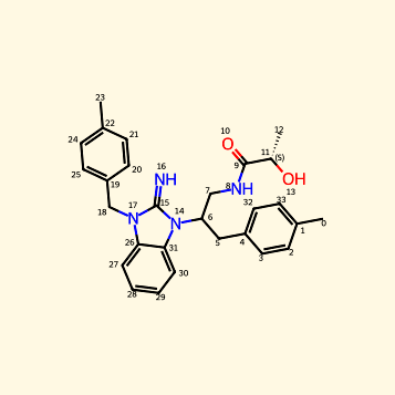 Cc1ccc(CC(CNC(=O)[C@H](C)O)n2c(=N)n(Cc3ccc(C)cc3)c3ccccc32)cc1